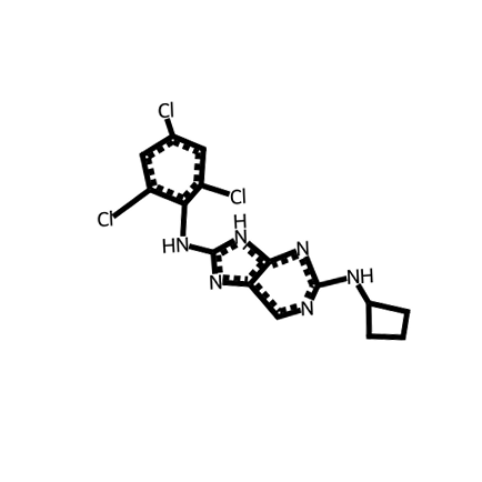 Clc1cc(Cl)c(Nc2nc3cnc(NC4CCC4)nc3[nH]2)c(Cl)c1